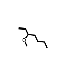 C=CC(CCCC)OC